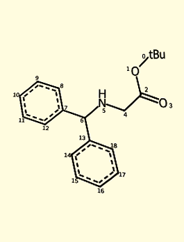 CC(C)(C)OC(=O)CNC(c1ccccc1)c1ccccc1